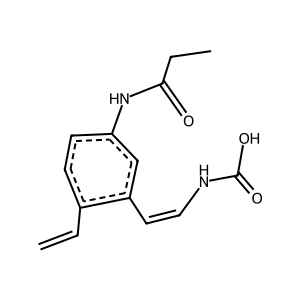 C=Cc1ccc(NC(=O)CC)cc1/C=C\NC(=O)O